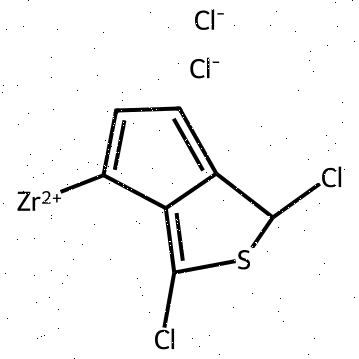 ClC1=C2[C]([Zr+2])=CC=C2C(Cl)S1.[Cl-].[Cl-]